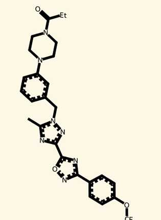 CCC(=O)N1CCN(c2cccc(Cn3nc(-c4nc(-c5ccc(OC(F)(F)F)cc5)no4)nc3C)c2)CC1